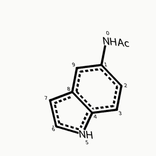 CC(=O)Nc1ccc2[nH][c]cc2c1